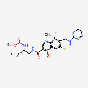 CCCCOC(=O)NC(CNC(=O)c1cn(C)c2c(F)c(CNC3N=CCCN3)c(F)cc2c1=O)C(=O)O